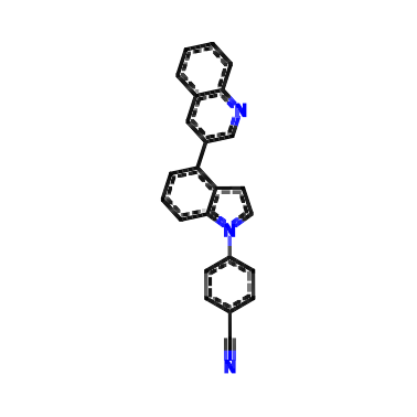 N#Cc1ccc(-n2ccc3c(-c4cnc5ccccc5c4)cccc32)cc1